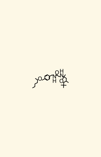 CCCCC(C)OCc1ccc(CNC(=O)CNC(C)(C)CC(C)C(=O)C(C)(C)C)cc1